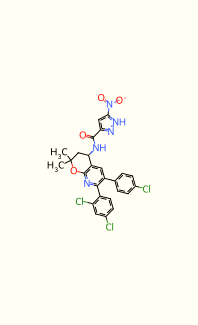 CC1(C)C[C@@H](NC(=O)c2cc([N+](=O)[O-])[nH]n2)c2cc(-c3ccc(Cl)cc3)c(-c3ccc(Cl)cc3Cl)nc2O1